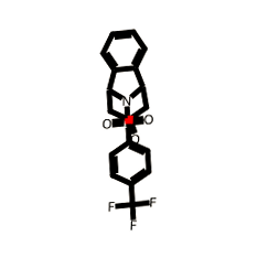 O=C1CC2c3ccccc3C(C1)N2S(=O)(=O)c1ccc(C(F)(F)F)cc1